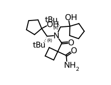 CC(C)(C)[C@@H](N(C(=O)C1(C(N)=O)CCC1)[C@H](C(C)(C)C)C1(O)CCCC1)C1(O)CCCC1